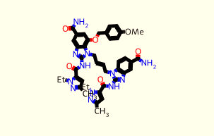 CCn1nc(C)cc1C(=O)Nc1nc2cc(C(N)=O)ccc2n1CC=CCn1c(NC(=O)c2cc(C)nn2CC)nc2cc(C(N)=O)cc(OCc3ccc(OC)cc3)c21